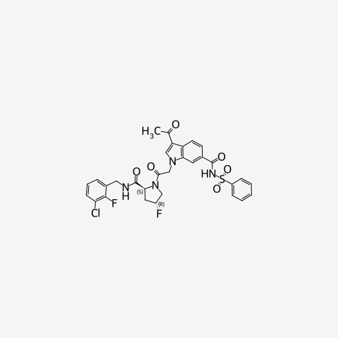 CC(=O)c1cn(CC(=O)N2C[C@H](F)C[C@H]2C(=O)NCc2cccc(Cl)c2F)c2cc(C(=O)NS(=O)(=O)c3ccccc3)ccc12